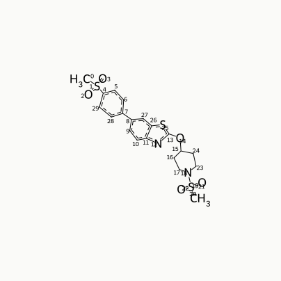 CS(=O)(=O)c1ccc(-c2ccc3nc(OC4CCN(S(C)(=O)=O)CC4)sc3c2)cc1